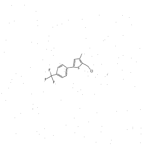 Cc1cc(-c2ccc(C(F)(F)F)cc2)sc1CCl